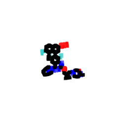 C#Cc1c(F)ccc2cc(O)cc(-c3c(F)cc4c(N5CC6CCC(C5)N6)nc(OCC5(CN6CC7CCC6CN7C)CC5)nc4c3F)c12